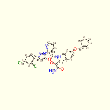 NC(=O)C(=O)C(Cc1ccc(OCc2ccccc2)cc1)NC(=O)c1cccnc1-n1ccc(-c2ccc(Cl)cc2Cl)n1